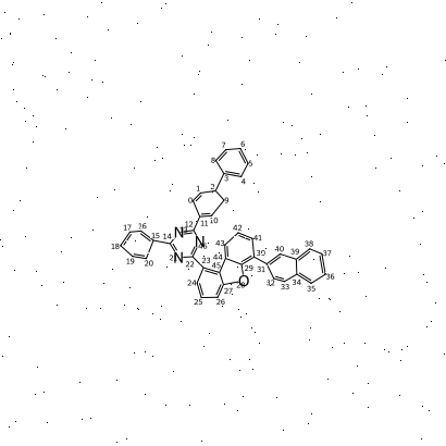 C1=CC(c2ccccc2)CC=C1c1nc(-c2ccccc2)nc(-c2cccc3oc4c(-c5ccc6ccccc6c5)cccc4c23)n1